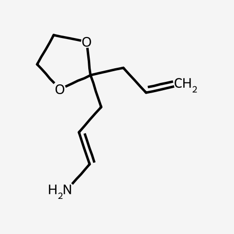 C=CCC1(CC=CN)OCCO1